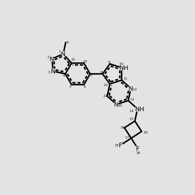 Cn1nnc2ccc(-c3c[nH]c4nc(NC5CC(F)(F)C5)ncc34)cc21